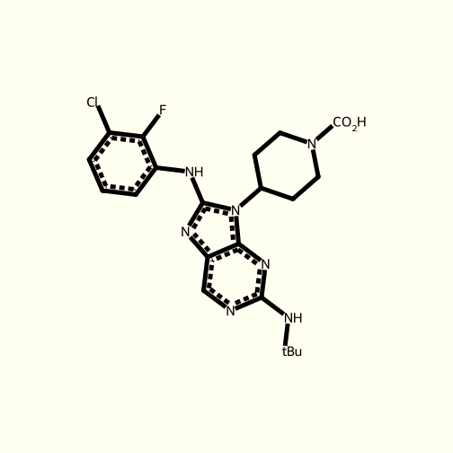 CC(C)(C)Nc1ncc2nc(Nc3cccc(Cl)c3F)n(C3CCN(C(=O)O)CC3)c2n1